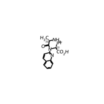 CC(C)[C@@H](C(=O)O)N(C(=O)[C@H](C)N)c1ccc2ccccc2n1